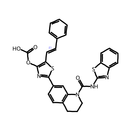 O=C(O)Oc1nc(-c2ccc3c(c2)N(C(=O)Nc2nc4ccccc4s2)CCC3)sc1/C=C/c1ccccc1